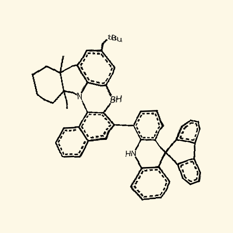 CC(C)(C)c1cc2c3c(c1)C1(C)CCCCC1(C)N3c1c(c(-c3cccc4c3Nc3ccccc3C43c4ccccc4-c4ccccc43)cc3ccccc13)B2